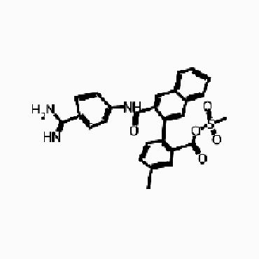 Cc1ccc(-c2cc3ccccc3cc2C(=O)Nc2ccc(C(=N)N)cc2)c(C(=O)OS(C)(=O)=O)c1